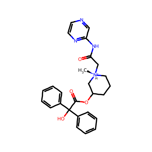 C[N@@+]1(CC(=O)Nc2cnccn2)CCCC(OC(=O)C(O)(c2ccccc2)c2ccccc2)C1